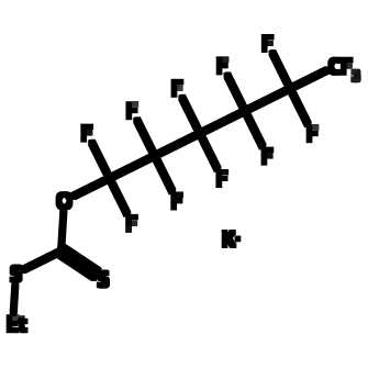 CCSC(=S)OC(F)(F)C(F)(F)C(F)(F)C(F)(F)C(F)(F)C(F)(F)F.[K]